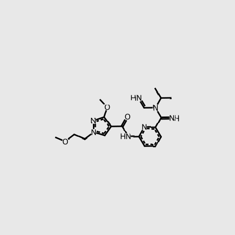 COCCn1cc(C(=O)Nc2cccc(C(=N)N(C=N)C(C)C)n2)c(OC)n1